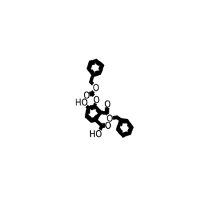 O=C(OCc1ccccc1)Oc1c(O)ccc(C(=O)O)c1C(=O)OCc1ccccc1